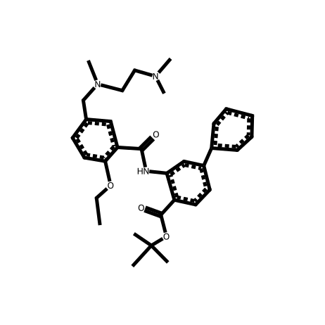 CCOc1ccc(CN(C)CCN(C)C)cc1C(=O)Nc1cc(-c2ccccc2)ccc1C(=O)OC(C)(C)C